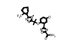 Cn1c(-c2ccccc2C(F)(F)F)nnc1C(C)(C)Oc1ccc(Cl)cc1-c1noc(C(N)=O)n1